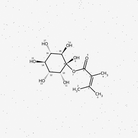 CC(C)=C(C)C(=O)O[C@]1(O)[C@H](O)[C@H](O)[C@@H](O)[C@H](O)[C@H]1O